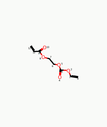 C=COC(=O)OCCOC(=O)C=C